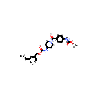 C=C/C(=C\C=C/C)COC(=O)NC1CCN(C(=O)c2ccc(NC(=O)OC(C)(C)C)cc2)CC1